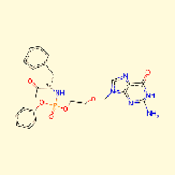 CC(=O)[C@H](Cc1ccccc1)NP(=O)(OCCOCn1cnc2c(=O)[nH]c(N)nc21)Oc1ccccc1